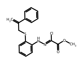 C=C(CSc1ccccc1NN=C(Cl)C(=O)OC)c1ccccc1